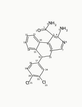 NC(=O)c1c(N)ncc2c1-c1ccccc1C(c1ccc(Cl)c(Cl)c1)C2